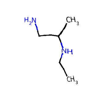 CCNC(C)CN